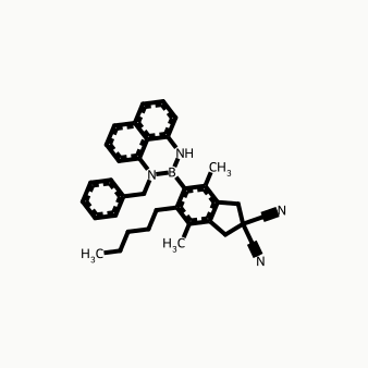 CCCCCc1c(C)c2c(c(C)c1B1Nc3cccc4cccc(c34)N1Cc1ccccc1)CC(C#N)(C#N)C2